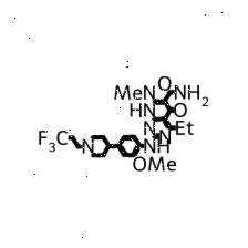 CCc1nc(Nc2ccc(C3CCN(CCC(F)(F)F)CC3)cc2OC)nc2[nH]c(NC)c(C(N)=O)c(=O)c12